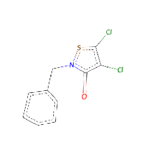 O=c1c(Cl)c(Cl)sn1Cc1ccccc1